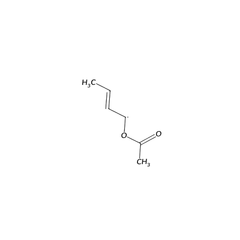 CC=C[CH]OC(C)=O